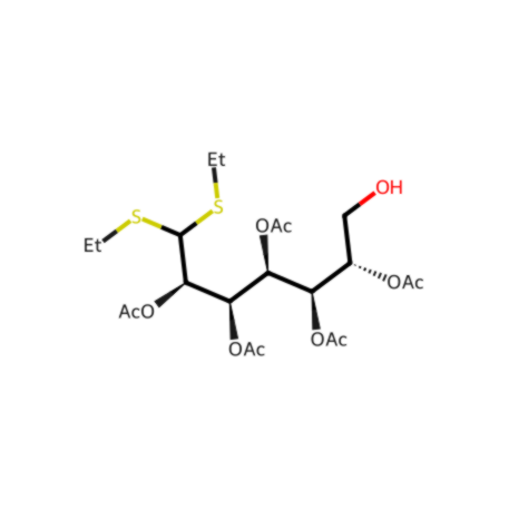 CCSC(SCC)[C@H](OC(C)=O)[C@H](OC(C)=O)[C@@H](OC(C)=O)[C@H](OC(C)=O)[C@H](CO)OC(C)=O